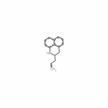 C=CCC1Cc2cccc3cccc(c23)N1